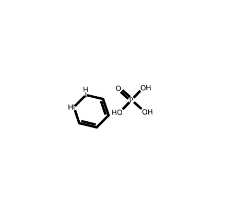 C1=C[IH][IH]C=C1.O=P(O)(O)O